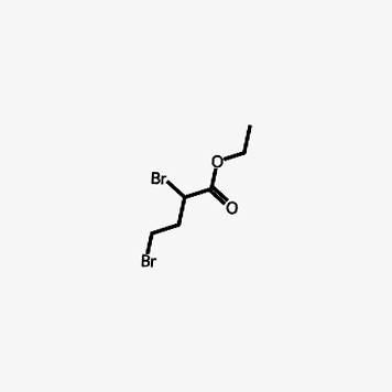 CCOC(=O)C(Br)CCBr